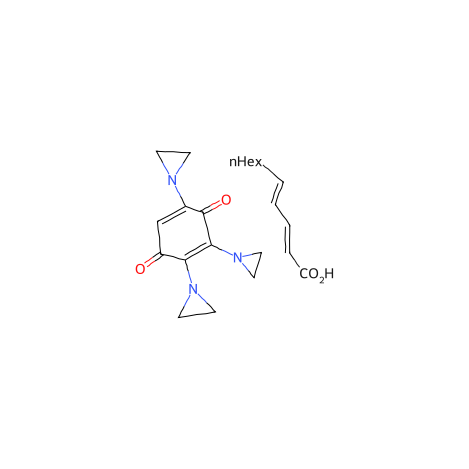 CCCCCC/C=C/C=C/C(=O)O.O=C1C=C(N2CC2)C(=O)C(N2CC2)=C1N1CC1